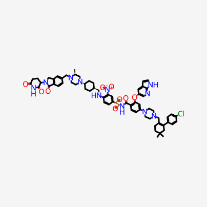 C[C@H]1CN([C@H]2CC[C@H](CNc3ccc(S(=O)(=O)NC(=O)c4ccc(N5CCN(CC6=C(c7ccc(Cl)cc7)CC(C)(C)CC6)CC5)cc4Oc4cnc5[nH]ccc5c4)cc3[N+](=O)[O-])CC2)CCN1Cc1ccc2c(c1)CN(C1CCC(=O)NC1=O)C2=O